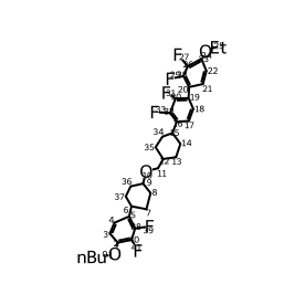 CCCCOc1ccc(C2CCC(OCC3CCC(c4ccc(-c5ccc(OCC)c(F)c5F)c(F)c4F)CC3)CC2)c(F)c1F